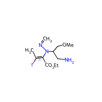 C=NN(/C(C(=O)OCC)=C(\C)I)C(CN)COC